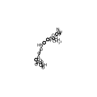 CC1(C)CN(Cc2ccc(-c3ccc(NCCOCCOCCOc4cccc5c4C(=O)N(C4CCC(=O)NC4=O)C5=O)cc3)cc2F)C(=O)C1Oc1ccc(C#N)c(C(F)(F)F)c1